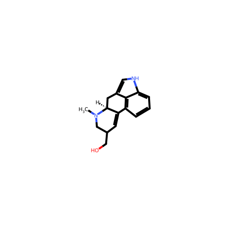 CN1CC(CO)C=C2c3cccc4[nH]cc(c34)C[C@@H]21